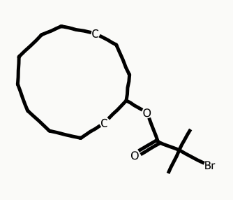 CC(C)(Br)C(=O)OC1CCCCCCCCCCC1